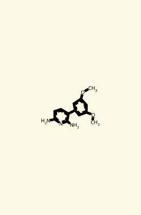 COc1cc(OC)cc(-c2ccc(N)nc2N)c1